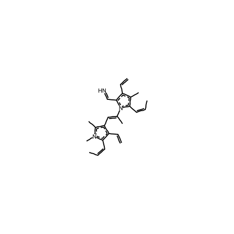 C=Cc1c(/C=C(\C)n2c(C=N)c(C=C)c(C)c2/C=C\C)c(C)n(C)c1/C=C\C